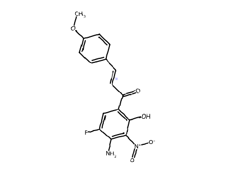 COc1ccc(/C=C/C(=O)c2cc(F)c(N)c([N+](=O)[O-])c2O)cc1